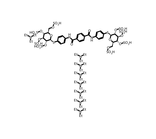 CCN(CC)CC.CCN(CC)CC.CCN(CC)CC.CCN(CC)CC.CCN(CC)CC.CCN(CC)CC.CCN(CC)CC.CCN(CC)CC.O=C(Nc1ccc(S[C@@H]2O[C@H](COS(=O)(=O)O)[C@@H](OS(=O)(=O)O)[C@H](OS(=O)(=O)O)[C@H]2OS(=O)(=O)O)cc1)c1ccc(C(=O)Nc2ccc(S[C@@H]3O[C@H](COS(=O)(=O)O)[C@@H](OS(=O)(=O)O)[C@H](OS(=O)(=O)O)[C@H]3OS(=O)(=O)O)cc2)cc1